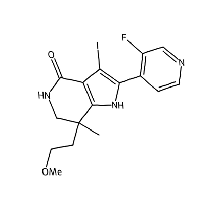 COCCC1(C)CNC(=O)c2c1[nH]c(-c1ccncc1F)c2I